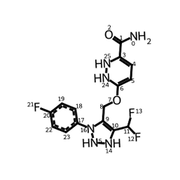 NC(=O)C1=CC=C(OCC2=C(C(F)F)NNN2c2ccc(F)cc2)NN1